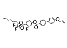 C=CCOc1ccc(-c2ccc(C(=O)Oc3ccc(C(=O)OC(CCCCCC)C(F)(F)F)c(F)c3)cc2)cc1